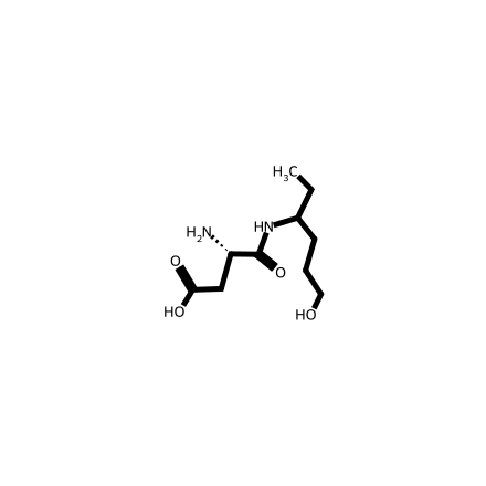 CCC(CCCO)NC(=O)[C@@H](N)CC(=O)O